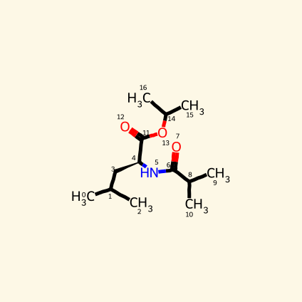 CC(C)C[C@H](NC(=O)C(C)C)C(=O)OC(C)C